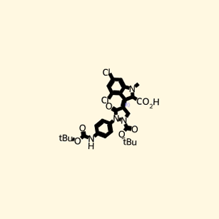 CN1c2cc(Cl)cc(Cl)c2/C(=C2/CN(C(=O)OC(C)(C)C)N(c3ccc(NC(=O)OC(C)(C)C)cc3)C2=O)C1C(=O)O